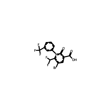 O=C(O)c1cc(Br)c(C(F)F)n(-c2cccc(C(F)(F)F)c2)c1=O